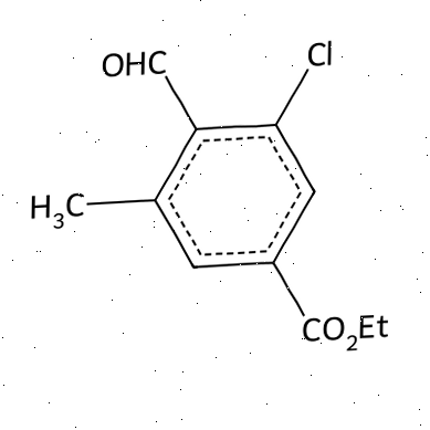 CCOC(=O)c1cc(C)c(C=O)c(Cl)c1